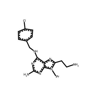 CC(C)n1c(CCN)nc2c(NCc3ccc(Cl)cc3)nc(N)nc21